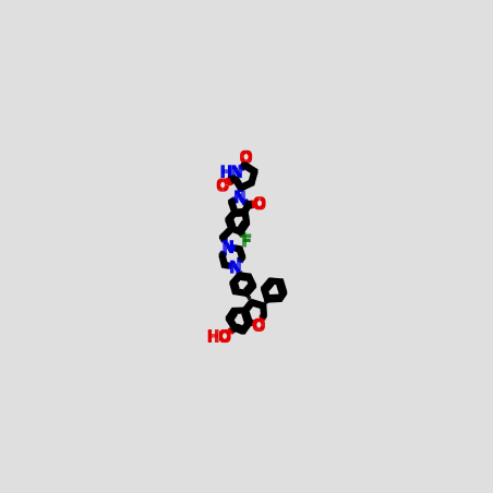 O=C1CCC(N2Cc3cc(CN4CCN(c5ccc([C@H]6c7ccc(O)cc7OC[C@H]6c6ccccc6)cc5)CC4)c(F)cc3C2=O)C(=O)N1